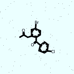 CC(=O)Cc1cc(Br)ccc1C(=O)c1ccc(Cl)cc1